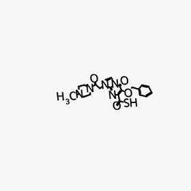 CN1CCN(C(=O)Cn2ccn3c(=O)c(OCc4ccccc4)c(C(=O)S)nc23)CC1